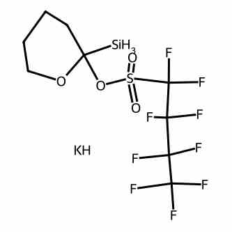 O=S(=O)(OC1([SiH3])CCCCO1)C(F)(F)C(F)(F)C(F)(F)C(F)(F)F.[KH]